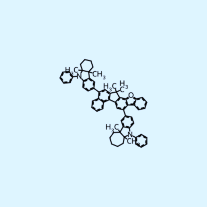 CC1(C)c2cc(-c3ccc4c(c3)C3(C)CCCCC3(C)N4c3ccccc3)c3ccccc3c2-c2cc(-c3ccc4c(c3)C3(C)CCCCCC3(C)N4c3ccccc3)c3c(oc4ccccc43)c21